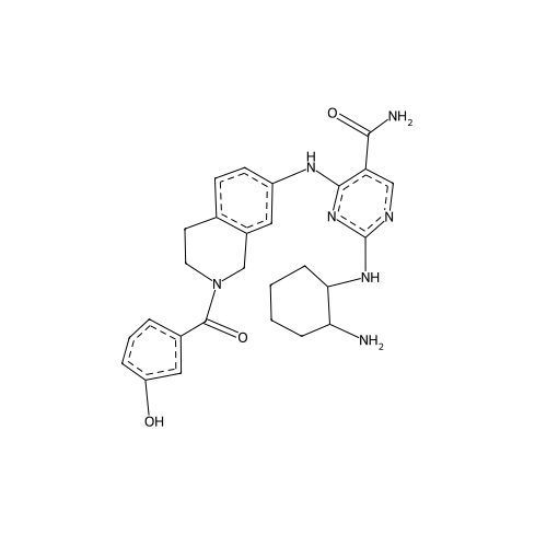 NC(=O)c1cnc(NC2CCCCC2N)nc1Nc1ccc2c(c1)CN(C(=O)c1cccc(O)c1)CC2